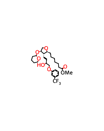 COC(=O)CCCCCC[C@@H]1OC[C@H](OC2CCCCO2)[C@H]1C=CC(O)COc1cccc(C(F)(F)F)c1